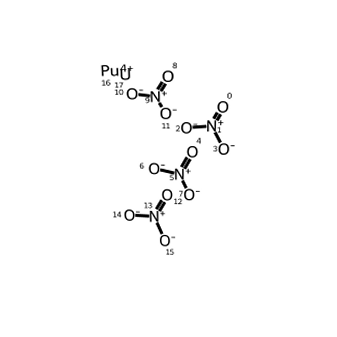 O=[N+]([O-])[O-].O=[N+]([O-])[O-].O=[N+]([O-])[O-].O=[N+]([O-])[O-].[Pu+4].[U]